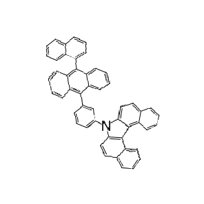 c1cc(-c2c3ccccc3c(-c3cccc4ccccc34)c3ccccc23)cc(-n2c3ccc4ccccc4c3c3c4ccccc4ccc32)c1